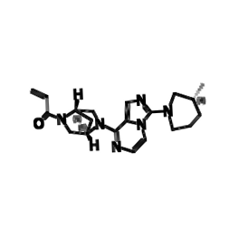 C=CC(=O)N1C[C@@H]2C[C@H]1CN2c1nccn2c(N3CCC[C@@H](C)C3)ncc12